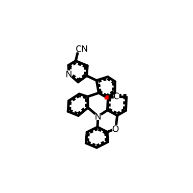 N#Cc1cncc(-c2ccccc2-c2ccccc2N2c3ccccc3Oc3ccccc32)c1